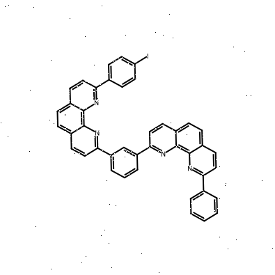 Ic1ccc(-c2ccc3ccc4ccc(-c5cccc(-c6ccc7ccc8ccc(-c9ccccc9)nc8c7n6)c5)nc4c3n2)cc1